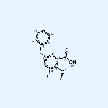 COc1c(C)cc(Cc2ccccc2)cc1C(=O)O